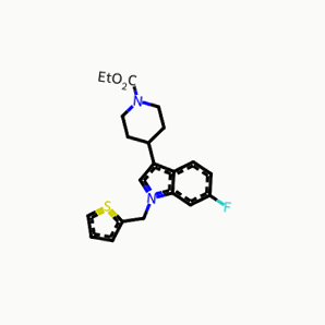 CCOC(=O)N1CCC(c2cn(Cc3cccs3)c3cc(F)ccc23)CC1